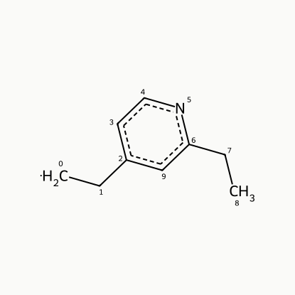 [CH2]Cc1ccnc(CC)c1